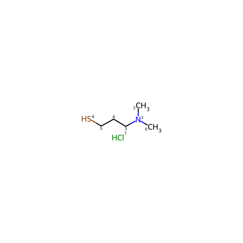 CN(C)CCCS.Cl